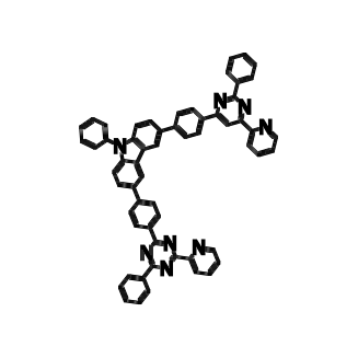 c1ccc(-c2nc(-c3ccc(-c4ccc5c(c4)c4cc(-c6ccc(-c7nc(-c8ccccc8)nc(-c8ccccn8)n7)cc6)ccc4n5-c4ccccc4)cc3)cc(-c3ccccn3)n2)cc1